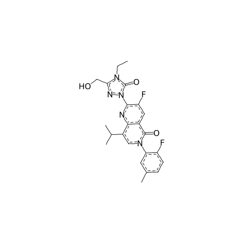 CCn1c(CO)nn(-c2nc3c(C(C)C)cn(-c4cc(C)ccc4F)c(=O)c3cc2F)c1=O